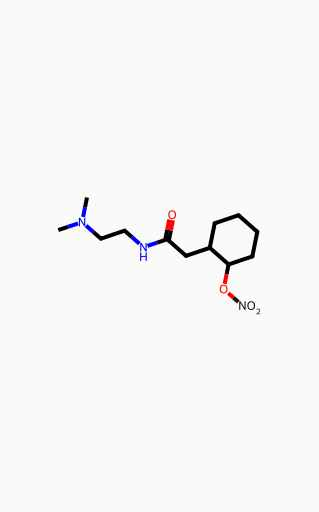 CN(C)CCNC(=O)CC1CCCCC1O[N+](=O)[O-]